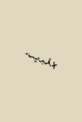 CC(C)(C)OC(=O)NCCONCCO